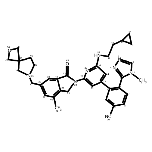 Cn1cnnc1-c1ccc(C#N)cc1-c1cc(NCCC2CC2)nc(N2Cc3c(cc(CN4CCC5(COC5)C4)cc3C(F)(F)F)C2=O)c1